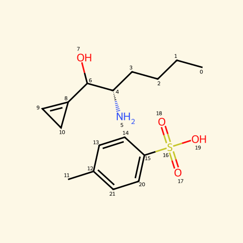 CCCC[C@H](N)C(O)C1=CC1.Cc1ccc(S(=O)(=O)O)cc1